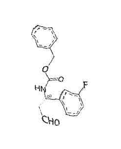 O=CC[C@H](NC(=O)OCc1ccccc1)c1cccc(F)c1